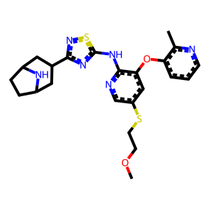 COCCSc1cnc(Nc2nc(C3CC4CCC(C3)N4)ns2)c(Oc2cccnc2C)c1